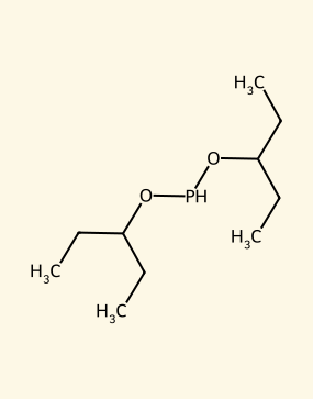 CCC(CC)OPOC(CC)CC